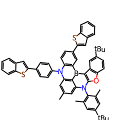 Cc1cc2c3c(c1)N(c1c(C)cc(C(C)(C)C)cc1C)c1oc4ccc(C(C)(C)C)cc4c1B3c1cc(-c3cc4ccccc4s3)ccc1N2c1ccc(-c2cc3ccccc3s2)cc1